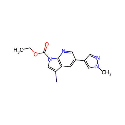 CCOC(=O)n1cc(I)c2cc(-c3cnn(C)c3)cnc21